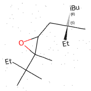 CC[C@@H](C)[C@@](C)(CC)CC1OC1(C)C(C)(C)CC